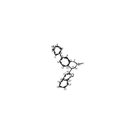 CN1Cc2cc(-c3ccnnc3)ccc2C(c2cc3ccccc3o2)C1